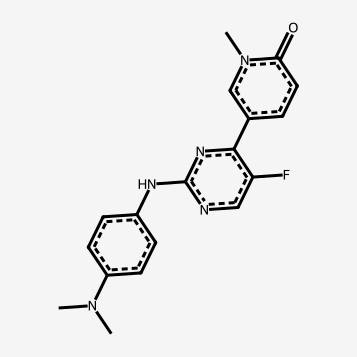 CN(C)c1ccc(Nc2ncc(F)c(-c3ccc(=O)n(C)c3)n2)cc1